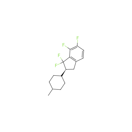 CC1CCC([C@@H]2Cc3ccc(F)c(F)c3C2(F)F)CC1